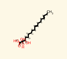 CCC=CCCCC=CCCCCCCC(O)C(O)(O)C(=O)O